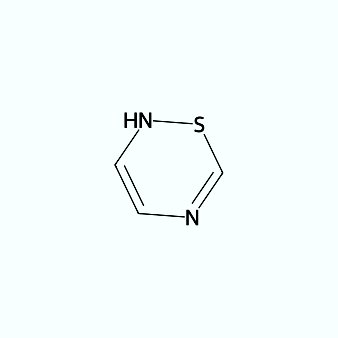 C1=CNSC=N1